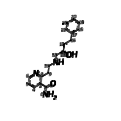 NC(=O)c1cccnc1CCNC[C@H](O)[CH]Cc1ccccc1